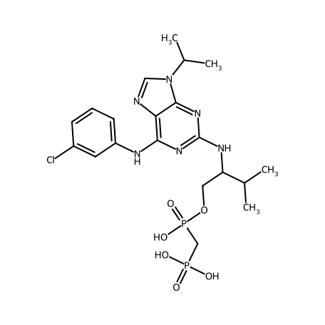 CC(C)C(COP(=O)(O)CP(=O)(O)O)Nc1nc(Nc2cccc(Cl)c2)c2ncn(C(C)C)c2n1